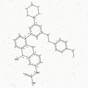 COc1ccc(COc2cc(N3CCOCC3)cc(-c3nccc4c3Oc3ccc(NC(=O)O)cc3C4O)n2)cc1